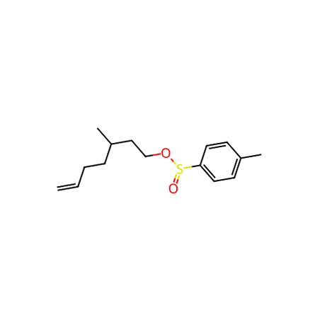 C=CCCC(C)CCOS(=O)c1ccc(C)cc1